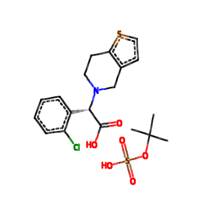 CC(C)(C)OS(=O)(=O)O.O=C(O)[C@H](c1ccccc1Cl)N1CCc2sccc2C1